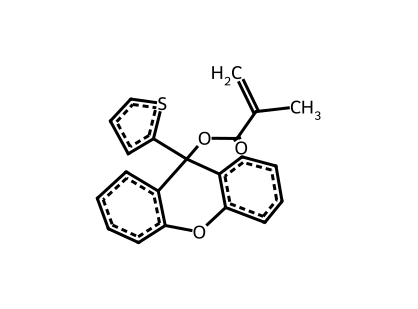 C=C(C)C(=O)OC1(c2cccs2)c2ccccc2Oc2ccccc21